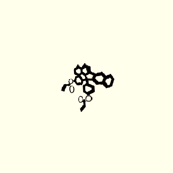 C=CC(=O)Oc1ccc(C2(C3=CCC(OC(=O)C=C)C=C3)c3cc4ccccc4cc3-c3ccc4ccccc4c32)cc1